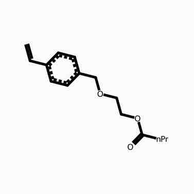 C=Cc1ccc(COCCOC(=O)CCC)cc1